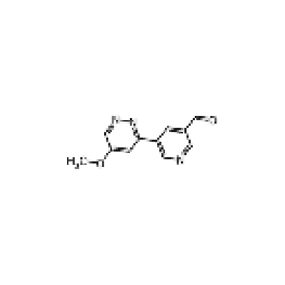 COc1cnnc(-c2cncc(C=O)c2)c1